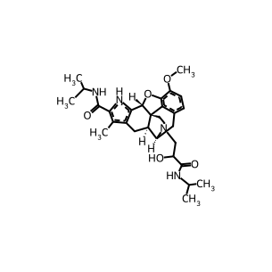 COc1ccc2c3c1O[C@H]1c4[nH]c(C(=O)NC(C)C)c(C)c4C[C@@H]4[C@H](C2)N(CC(O)C(=O)NC(C)C)CC[C@@]341